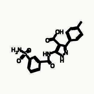 Cc1ccc(-c2n[nH]c(NC(=O)c3cccc(S(N)(=O)=O)c3)c2C(=O)O)cc1